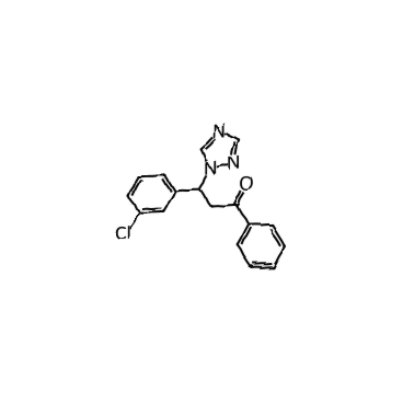 O=C(CC(c1cccc(Cl)c1)n1cncn1)c1ccccc1